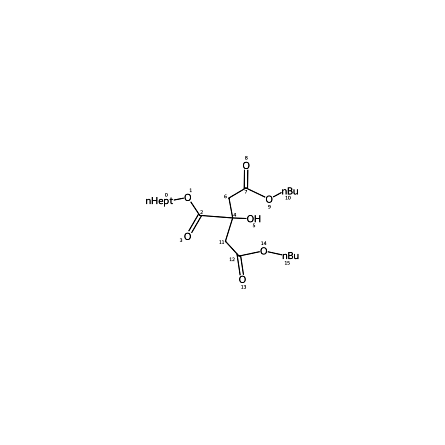 CCCCCCCOC(=O)C(O)(CC(=O)OCCCC)CC(=O)OCCCC